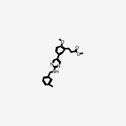 COC(=O)CCc1cc(-c2cnc(NCc3cccc(C)c3)nc2)ccc1OC